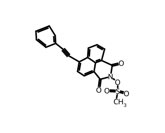 CS(=O)(=O)ON1C(=O)c2cccc3c(C#Cc4ccccc4)ccc(c23)C1=O